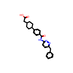 O=C(O)CC1CCC(c2ccc(C(=O)Nc3ccc(Cc4ccccc4)nn3)cc2)CC1